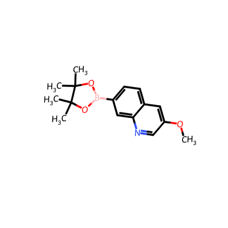 COc1cnc2cc(B3OC(C)(C)C(C)(C)O3)ccc2c1